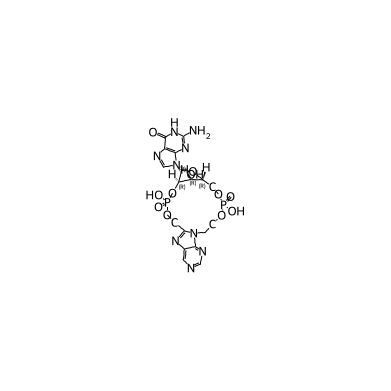 Nc1nc2c(ncn2[C@@H]2O[C@@H]3COP(=O)(O)OCCn4c(nc5cncnc54)COP(=O)(O)O[C@@H]2[C@@H]3O)c(=O)[nH]1